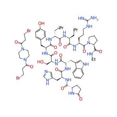 CCNC(=O)[C@@H]1CCCN1C(=O)[C@H](CCCNC(=N)N)NC(=O)[C@H](CC(C)C)NC(=O)[C@@H](CC(C)C)NC(=O)[C@H](Cc1ccc(O)cc1)NC(=O)[C@H](CO)NC(=O)[C@H](Cc1c[nH]c2ccccc12)NC(=O)[C@H](Cc1cnc[nH]1)NC(=O)[C@@H]1CCC(=O)N1.O=C(CCBr)N1CCN(C(=O)CCBr)CC1